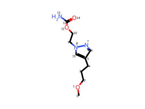 COCCCc1cnn(CCOC(N)=O)c1